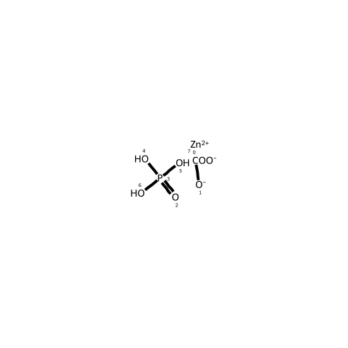 O=C([O-])[O-].O=P(O)(O)O.[Zn+2]